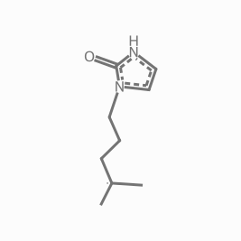 C[C](C)CCCn1cc[nH]c1=O